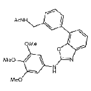 COc1cc(Nc2nc3cccc(-c4cccc(CNC(C)=O)c4)c3o2)cc(OC)c1OC